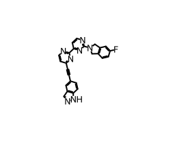 Fc1ccc2c(c1)CN(c1nccc(-c3nccc(C#Cc4ccc5[nH]ncc5c4)n3)n1)C2